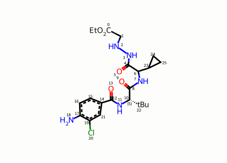 CCOC(=O)CNNC(=O)C(NC(=O)[C@@H](NC(=O)c1ccc(N)c(Cl)c1)C(C)(C)C)C1CC1